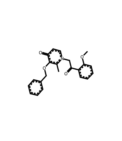 COc1ccccc1C(=O)Cn1ccc(=O)c(OCc2ccccc2)c1C